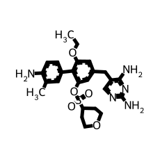 CCOc1cc(Cc2cnc(N)nc2N)cc(OS(=O)(=O)C2CCOCC2)c1-c1ccc(N)c(C)c1